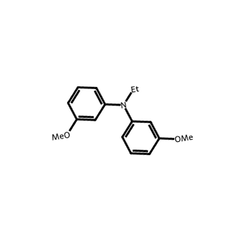 CCN(c1cccc(OC)c1)c1cccc(OC)c1